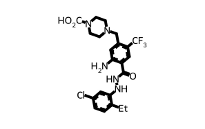 CCc1ccc(Cl)cc1NNC(=O)c1cc(C(F)(F)F)c(CN2CCN(C(=O)O)CC2)cc1N